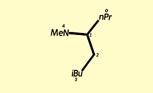 CCCC(CC(C)CC)NC